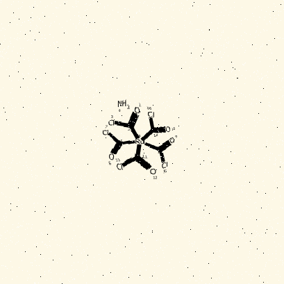 N.O=[C](Cl)[Ru]([C](=O)Cl)([C](=O)Cl)([C](=O)Cl)[C](=O)Cl